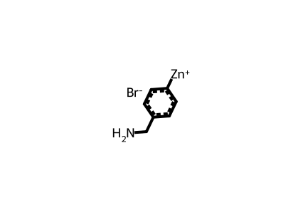 NCc1cc[c]([Zn+])cc1.[Br-]